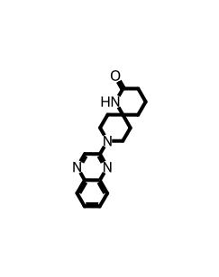 O=C1CCCC2(CCN(c3cnc4ccccc4n3)CC2)N1